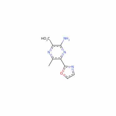 Cc1nc(C(=O)O)c(N)nc1-c1ncco1